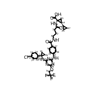 O=C(CCCNC(=O)c1ccc(Nc2nc(NC3(c4ccc(Cl)cc4)CC3)nc(OCC(F)(F)F)n2)cc1)N[C@]1(C(=O)O)C[C@H]1C1CC1